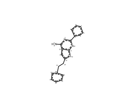 Nc1nc(-c2ccccc2)nc2sc(CCc3ccccc3)cc12